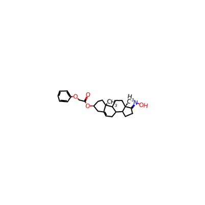 C[C@]12CC[C@H](OC(=O)COc3ccccc3)CC1=CCC1C2CC[C@]2(C)/C(=N/O)CCC12